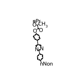 CCCCCCCCCc1ccc(-c2ncc(-c3ccc(OC(=O)C(C)OCCC)cc3)cn2)cc1